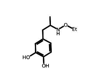 CCONC(C)Cc1ccc(O)c(O)c1